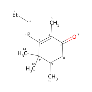 CCC=CC1=C(C)C(=O)CC(C)C1(C)C